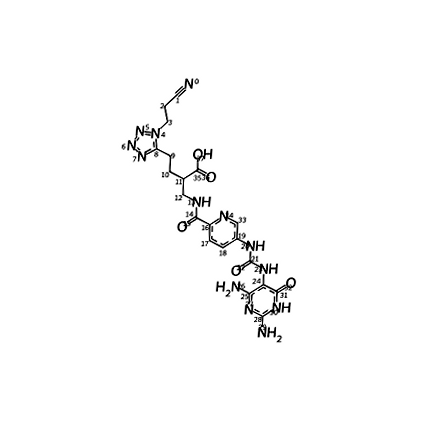 N#CCCn1nnnc1CCC(CNC(=O)c1ccc(NC(=O)Nc2c(N)nc(N)[nH]c2=O)cn1)C(=O)O